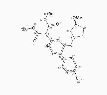 CO[C@H]1CCN(Cc2cc(N(C(=O)OC(C)(C)C)C(=O)OC(C)(C)C)ncc2-c2ccc(C(F)(F)F)cc2)C1